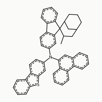 CC1CC2CCCC(C2)C12c1ccccc1-c1ccc(N(c3ccc4c(c3)sc3ccccc34)c3cc4ccccc4c4ccccc34)cc12